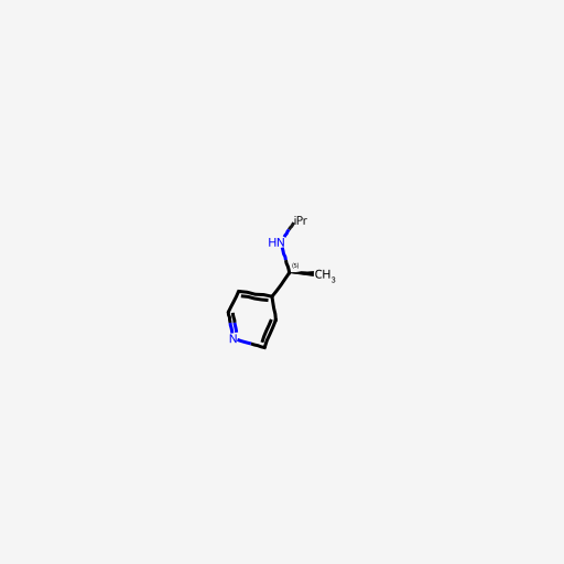 CC(C)N[C@@H](C)c1ccncc1